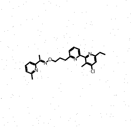 CCc1cc(Cl)c(C)c(-c2cccc(CCCO/N=C(\C)c3cccc(C)n3)n2)n1